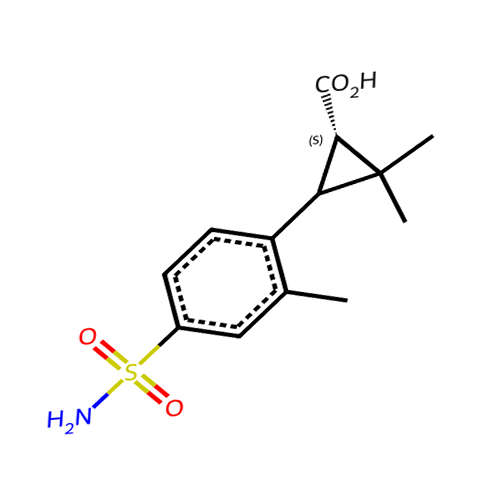 Cc1cc(S(N)(=O)=O)ccc1C1[C@H](C(=O)O)C1(C)C